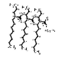 CCCCCCCCN(CCC)C(=S)[S-].CCCCCCCCN(CCC)C(=S)[S-].CCCCCCCCN(CCC)C(=S)[S-].[Sb+3]